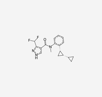 CN(C(=O)c1c[nH]nc1C(F)F)c1ccccc1[C@H]1C[C@H]1C1CC1